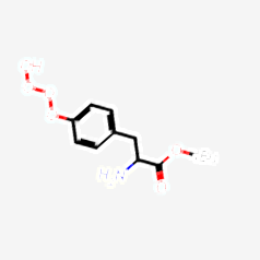 CC(C)(C)OC(=O)C(N)Cc1ccc(OOOO)cc1